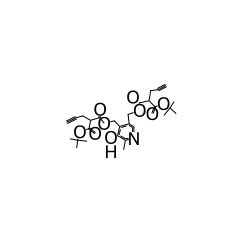 C#CCC(C(=O)OCc1cnc(C)c(O)c1COC(=O)C(CC#C)C(=O)OC(C)(C)C)C(=O)OC(C)(C)C